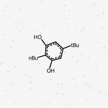 CCCCc1c(O)cc(C(C)(C)C)cc1O